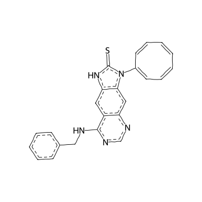 S=c1[nH]c2cc3c(NCc4ccccc4)ncnc3cc2n1C1=CC=CC=CC=C1